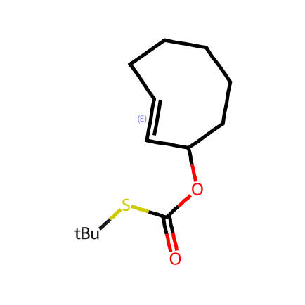 CC(C)(C)SC(=O)OC1/C=C/CCCCC1